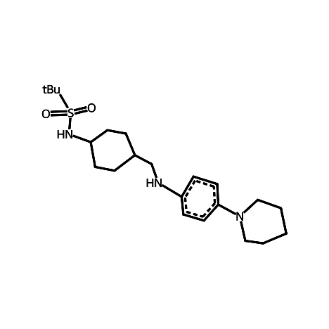 CC(C)(C)S(=O)(=O)NC1CCC(CNc2ccc(N3CCCCC3)cc2)CC1